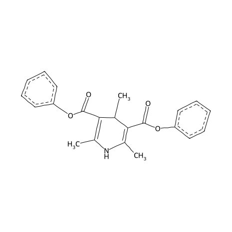 CC1=C(C(=O)Oc2ccccc2)C(C)C(C(=O)Oc2ccccc2)=C(C)N1